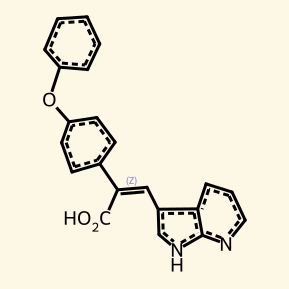 O=C(O)/C(=C\c1c[nH]c2ncccc12)c1ccc(Oc2ccccc2)cc1